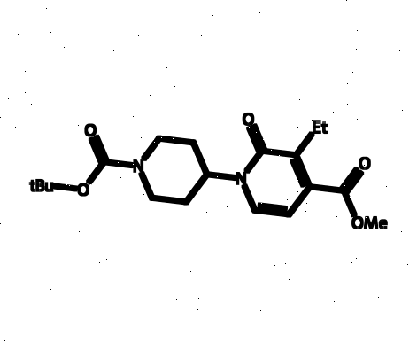 CCc1c(C(=O)OC)ccn(C2CCN(C(=O)OC(C)(C)C)CC2)c1=O